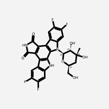 C[C@@]1(O)C[C@@H](CO)O[C@@H](n2c3cc(F)c(F)cc3c3c4c(c5c6cc(F)c(F)cc6[nH]c5c32)C(=O)NC4=O)[C@@H]1O